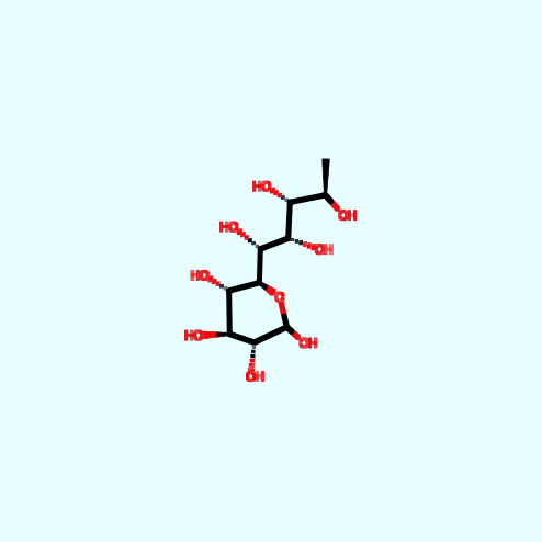 C[C@@H](O)[C@@H](O)[C@H](O)[C@@H](O)[C@H]1OC(O)[C@H](O)[C@@H](O)[C@@H]1O